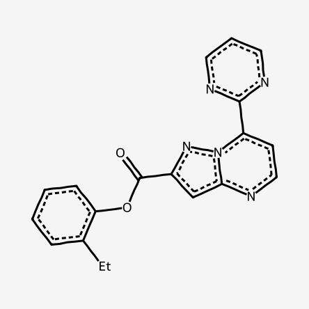 CCc1ccccc1OC(=O)c1cc2nccc(-c3ncccn3)n2n1